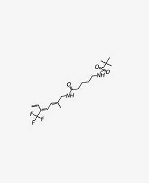 C=C/C(=C\C=C(/C)CNC(=O)CCCCNS(=O)(=O)C(C)(C)C)C(F)(F)F